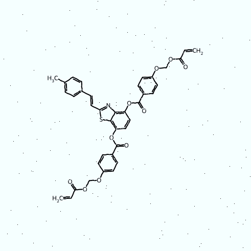 C=CC(=O)OCOc1ccc(C(=O)Oc2ccc(OC(=O)c3ccc(OCOC(=O)C=C)cc3)c3sc(/C=C/c4ccc(C)cc4)nc23)cc1